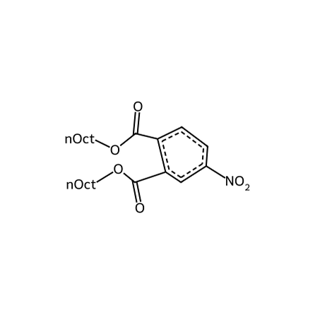 CCCCCCCCOC(=O)c1ccc([N+](=O)[O-])cc1C(=O)OCCCCCCCC